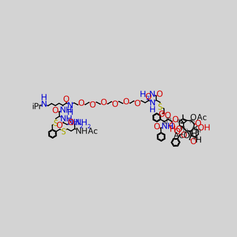 CC(=O)NC(CCSCc1ccccc1CSCC(NC(=O)CN)C(=O)NC(CCCCNC(C)C)C(=O)NCCOCCOCCOCCOCCOCCOCCC(=O)NC(CSCC(=O)O[C@@H](C(=O)O[C@H]1C[C@@]2(O)[C@@H](OC(=O)c3ccccc3)[C@@H]3[C@]4(OC(C)=O)CO[C@@H]4C[C@H](O)[C@@]3(C)C(=O)[C@H](OC(C)=O)C(=C1C)C2(C)C)[C@@H](NC(=O)c1ccccc1)c1ccccc1)C(N)=O)C(N)=O